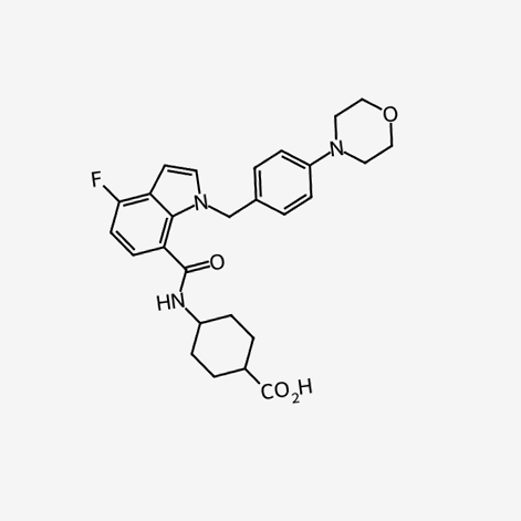 O=C(NC1CCC(C(=O)O)CC1)c1ccc(F)c2ccn(Cc3ccc(N4CCOCC4)cc3)c12